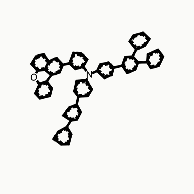 c1ccc(-c2ccc(-c3ccc(N(c4ccc(-c5ccc(-c6ccccc6)c(-c6ccccc6)c5)cc4)c4cccc(-c5cc6c7c(cccc7c5)Oc5ccccc5-6)c4)cc3)cc2)cc1